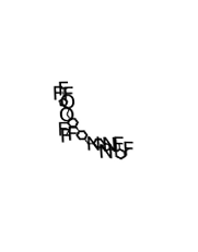 Fc1cccc(-c2nc3ccn(Cc4ccc(-c5ccc(OCc6ccc(C(F)(F)F)o6)cc5C(F)(F)F)cc4)cc-3n2)c1F